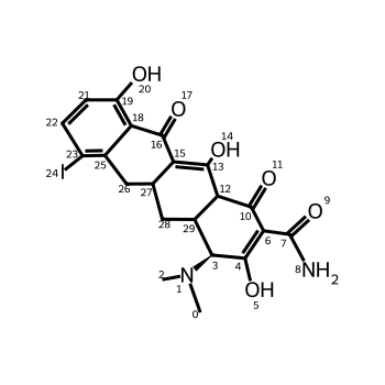 CN(C)[C@@H]1C(O)=C(C(N)=O)C(=O)C2C(O)=C3C(=O)c4c(O)ccc(I)c4CC3CC21